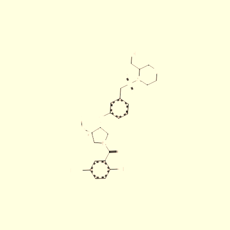 CO[C@@H]1CN(C(=O)c2cc(C)ccc2C)C[C@H]1Oc1cccc(CS(=O)(=O)N2CCOCC2CO)c1